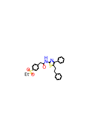 CCS(=O)(=O)c1ccc(CC(=O)Nc2nc(-c3ccccc3)c(CCc3ccccc3)s2)cc1